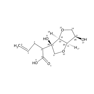 C=CCC(C(=O)O)[C@@]1(O)CO[C@@H]2[C@H](O)CO[C@@H]21